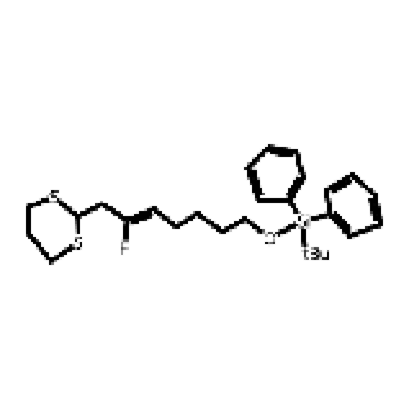 CC(C)(C)[Si](OCCCCC=C(F)CC1SCCCS1)(c1ccccc1)c1ccccc1